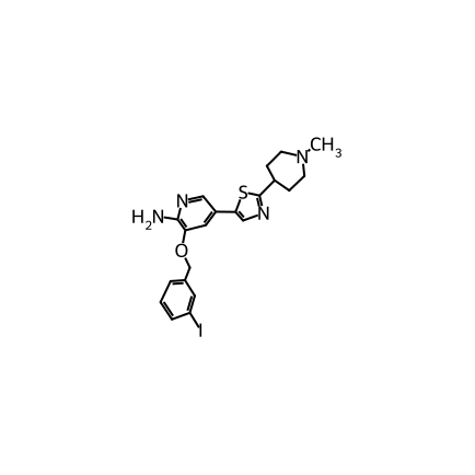 CN1CCC(c2ncc(-c3cnc(N)c(OCc4cccc(I)c4)c3)s2)CC1